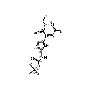 CCOC(=O)C(=CC(C)=O)c1csc(NC(=O)OC(C)(C)C)n1